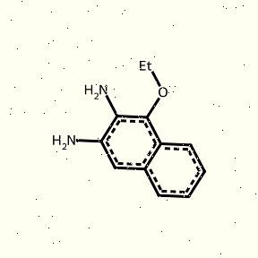 CCOc1c(N)c(N)cc2ccccc12